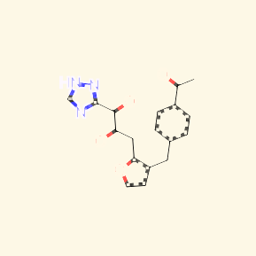 CC(=O)c1ccc(Cc2ccoc2CC(=O)C(=O)c2nc[nH]n2)cc1